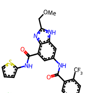 COCc1nc2c(C(=O)Nc3cccs3)cc(NC(=O)c3ccccc3C(F)(F)F)cc2[nH]1.Cl